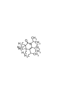 CC(C)C1=C(C(C)C)C(C)(C)C(C)(C)C(=O)N1C(C)C